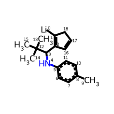 [Li][C]1=C(C(Nc2ccc(C)cc2)C(C)(C)C)C=CC1